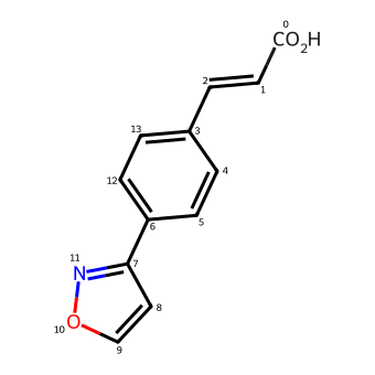 O=C(O)/C=C/c1ccc(-c2ccon2)cc1